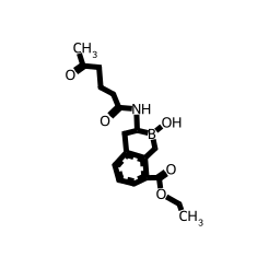 CCOC(=O)c1cccc2c1CB(O)C(NC(=O)CCCC(C)=O)C2